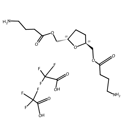 NCCCC(=O)OC[C@@H]1CC[C@@H](COC(=O)CCCN)O1.O=C(O)C(F)(F)F.O=C(O)C(F)(F)F